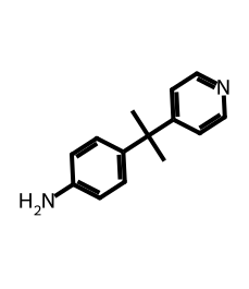 CC(C)(c1ccncc1)c1ccc(N)cc1